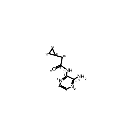 Nc1nccnc1NC(=O)CC1CC1